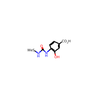 CSNC(=O)Nc1ccc(C(=O)O)cc1O